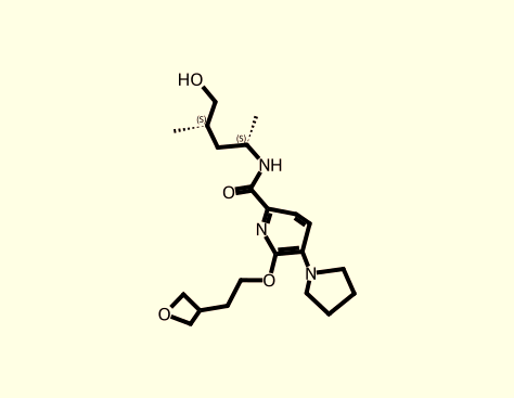 C[C@H](CO)C[C@H](C)NC(=O)c1ccc(N2CCCC2)c(OCCC2COC2)n1